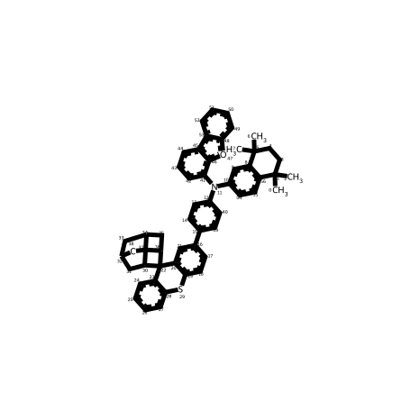 CC1(C)CCC(C)(C)c2cc(N(c3ccc(-c4ccc5c(c4)C4(c6ccccc6S5)C5CC6CC7CC4C75C6)cc3)c3cccc4c3oc3ccccc34)ccc21